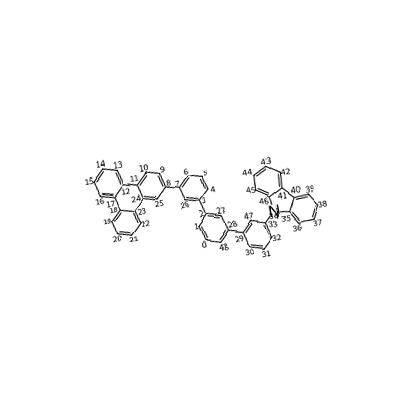 c1cc(-c2cccc(-c3ccc4c5ccccc5c5ccccc5c4c3)c2)cc(-c2cccc(-n3c4ccccc4c4ccccc43)c2)c1